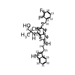 CC(C)(CO)Nc1nc(SCc2cccc(F)c2F)nc2nc(NCCc3c[nH]c4ccccc34)sc12